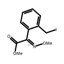 CO/N=C(/C(=O)OC)c1ccccc1CI